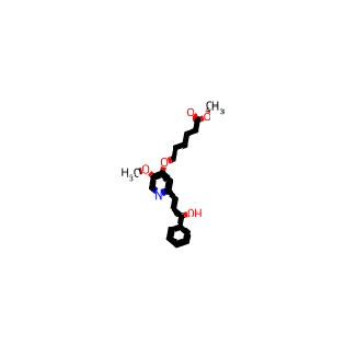 COC(=O)CCCCCOc1cc(C=CC(O)c2ccccc2)ncc1OC